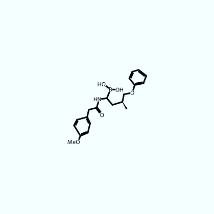 COc1ccc(CC(=O)NC(C[C@H](C)COc2ccccc2)B(O)O)cc1